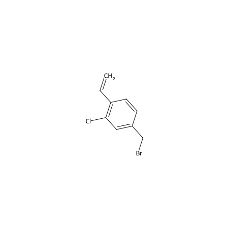 C=Cc1ccc(CBr)cc1Cl